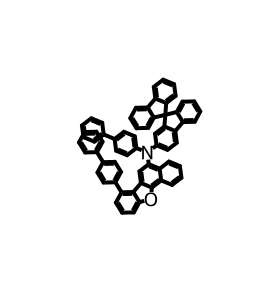 c1ccc(-c2ccc(-c3cccc4oc5c6ccccc6c(N(c6ccc(-c7ccccc7)cc6)c6ccc7c(c6)C6(c8ccccc8-c8ccccc86)c6ccccc6-7)cc5c34)cc2)cc1